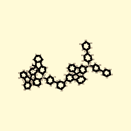 CC1(C)c2ccccc2-c2ccc(N(c3ccc(-c4cccc(-c5ccc6c(c5)-c5ccccc5C65c6ccccc6-c6cc(N(c7ccc(-c8ccccc8)cc7)c7ccc(-c8ccccc8)cc7)ccc65)c4)cc3)c3cccc4c3-c3ccccc3C43c4ccccc4-c4ccccc43)cc21